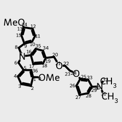 COc1cccc(CN(Cc2cccc(OC)c2)c2ccc(COCCOc3cccc(N(C)C)c3)cc2)c1